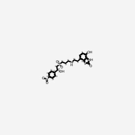 O=c1[nH]c2c(O)ccc(CCNCCCS(=O)(=O)C[C@H](O)c3ccc([N+](=O)[O-])cc3)c2s1